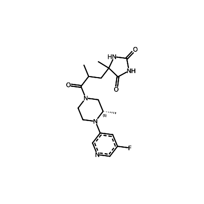 CC(CC1(C)NC(=O)NC1=O)C(=O)N1CCN(c2cncc(F)c2)[C@@H](C)C1